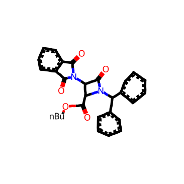 CCCCOC(=O)C1C(N2C(=O)c3ccccc3C2=O)C(=O)N1C(c1ccccc1)c1ccccc1